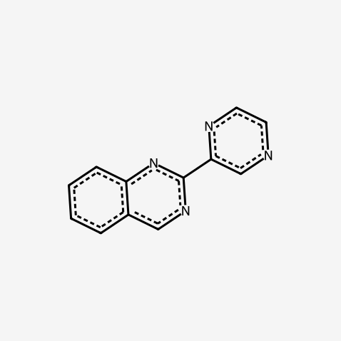 c1ccc2nc(-c3cnccn3)ncc2c1